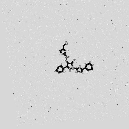 O=C1/C(=N\Nc2ncc(CCl)s2)C(c2ccccc2)=NN1c1nc(-c2ccccc2)cs1